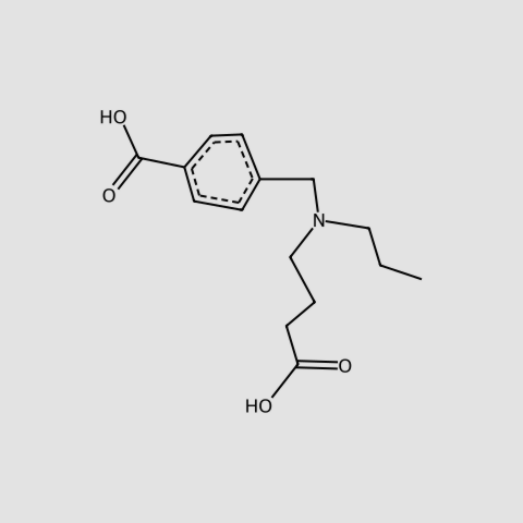 CCCN(CCCC(=O)O)Cc1ccc(C(=O)O)cc1